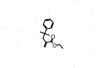 C=C(CC(C)(C)c1ccccc1)C(=O)OCC